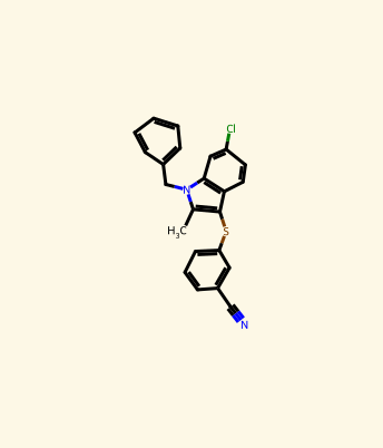 Cc1c(Sc2cccc(C#N)c2)c2ccc(Cl)cc2n1Cc1ccccc1